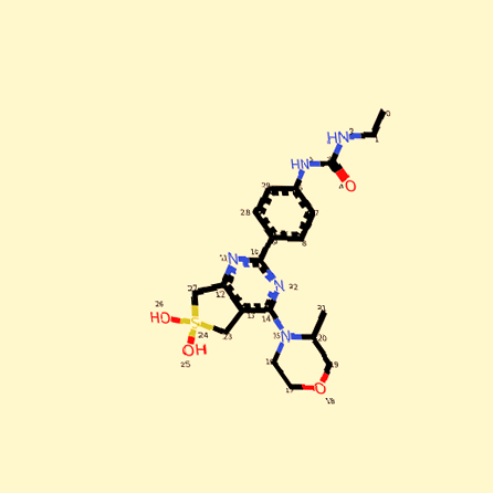 CCNC(=O)Nc1ccc(-c2nc3c(c(N4CCOCC4C)n2)CS(O)(O)C3)cc1